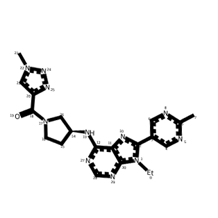 CCn1c(-c2cnc(C)nc2)nc2c(N[C@H]3CCN(C(=O)c4cn(C)nn4)C3)ncnc21